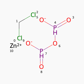 ClCCl.O=[PH]([O-])O[PH](=O)[O-].[Zn+2]